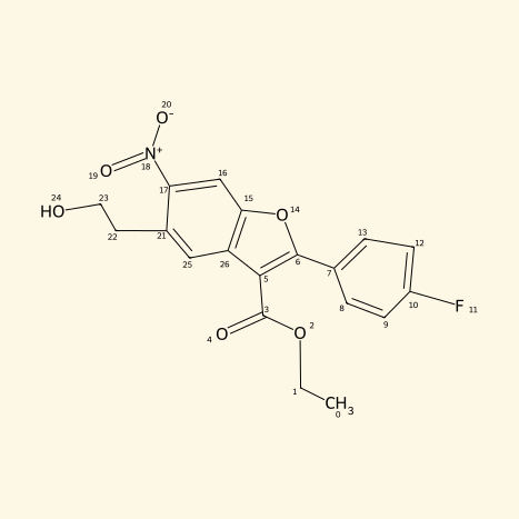 CCOC(=O)c1c(-c2ccc(F)cc2)oc2cc([N+](=O)[O-])c(CCO)cc12